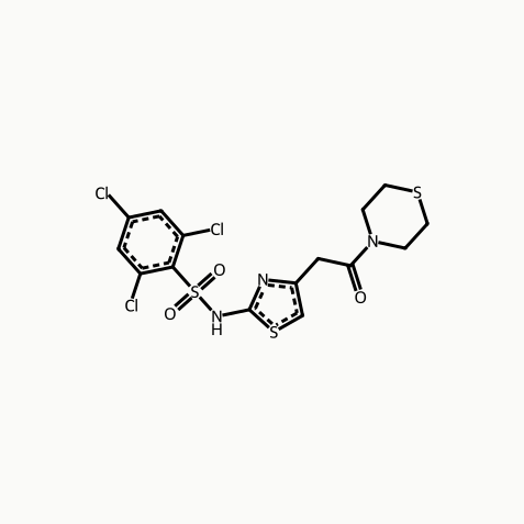 O=C(Cc1csc(NS(=O)(=O)c2c(Cl)cc(Cl)cc2Cl)n1)N1CCSCC1